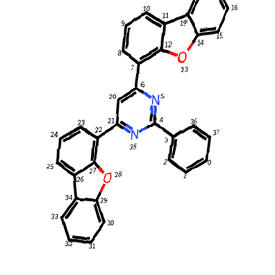 c1ccc(-c2nc(-c3cccc4c3oc3ccccc34)cc(-c3cccc4c3oc3ccccc34)n2)cc1